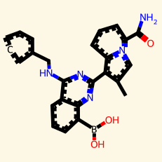 Cc1cn2c(C(N)=O)cccc2c1-c1nc(NCc2ccccc2)c2cccc(B(O)O)c2n1